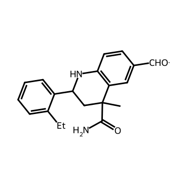 CCc1ccccc1C1CC(C)(C(N)=O)c2cc([C]=O)ccc2N1